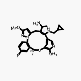 COc1cc2n(n1)-c1ccc(F)cc1[C@@H](C)Oc1cc(cnc1N)/C(NCC1CC1)=C(/C(C)N)C2